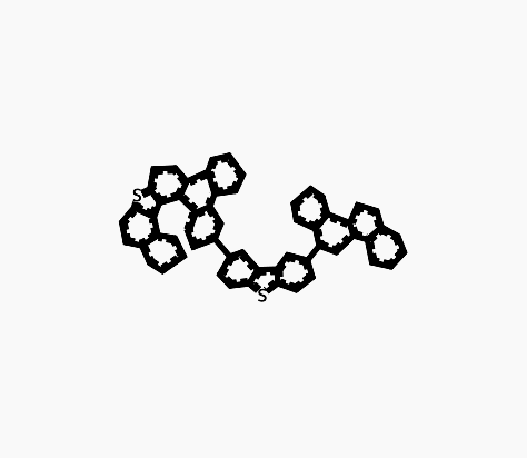 c1ccc2c(c1)ccc1c3ccccc3c(-c3ccc4sc5ccc(-c6ccc7c(c6)c6ccccc6c6ccc8sc9ccc%10ccccc%10c9c8c67)cc5c4c3)cc21